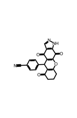 N#Cc1ccc(C2C3=C(CCCC3=O)OC3=C2C(=O)c2cn[nH]c2C3=O)cc1